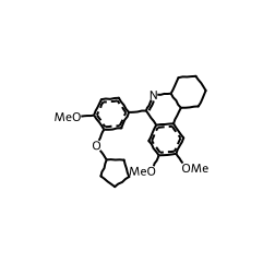 COc1cc2c(cc1OC)C1CCCCC1N=C2c1ccc(OC)c(OC2CCCC2)c1